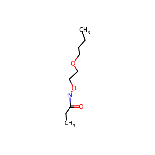 CCCCOCCO[N]C(=O)CC